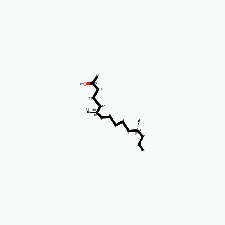 CCC[C@@H](C)CCCCC[C@@H](C)CCCC(C)=O